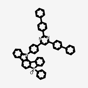 O=P1(c2ccccc2)c2ccccc2-c2c1ccc1c3ccccc3n(-c3ccc(-c4cc(-c5ccc(-c6ccccc6)cc5)nc(-c5ccc(-c6ccccc6)cc5)n4)cc3)c21